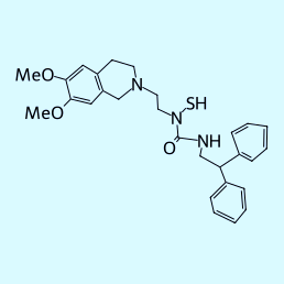 COc1cc2c(cc1OC)CN(CCN(S)C(=O)NCC(c1ccccc1)c1ccccc1)CC2